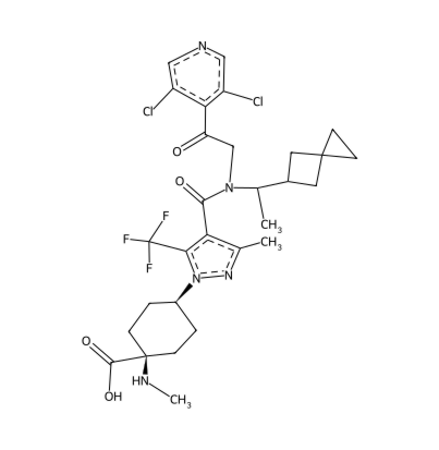 CN[C@]1(C(=O)O)CC[C@H](n2nc(C)c(C(=O)N(CC(=O)c3c(Cl)cncc3Cl)C(C)C3CC4(CC4)C3)c2C(F)(F)F)CC1